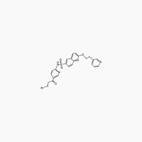 CC(=O)SCC(=O)c1ccc(NS(=O)(=O)c2ccc3nc(OCCc4cccnc4)ccc3c2)nc1